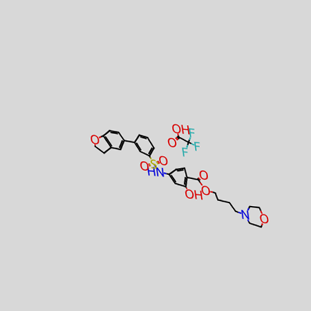 O=C(O)C(F)(F)F.O=C(OCCCCN1CCOCC1)c1ccc(NS(=O)(=O)c2cccc(-c3ccc4c(c3)CCO4)c2)cc1O